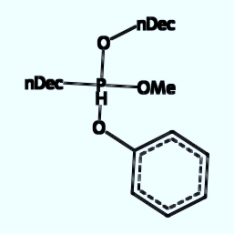 CCCCCCCCCCO[PH](CCCCCCCCCC)(OC)Oc1ccccc1